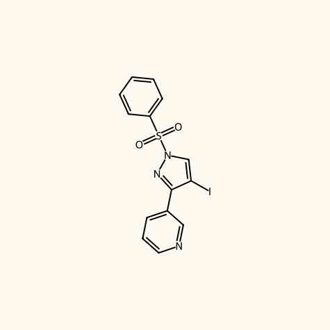 O=S(=O)(c1ccccc1)n1cc(I)c(-c2cccnc2)n1